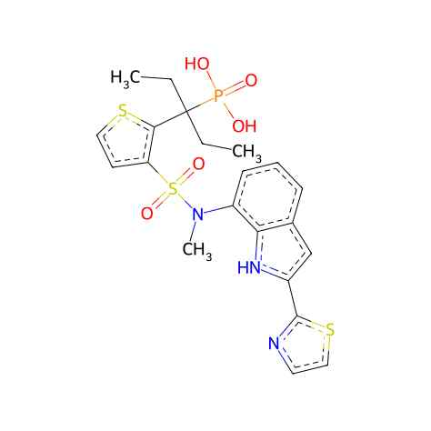 CCC(CC)(c1sccc1S(=O)(=O)N(C)c1cccc2cc(-c3nccs3)[nH]c12)P(=O)(O)O